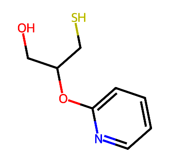 OCC(CS)Oc1ccccn1